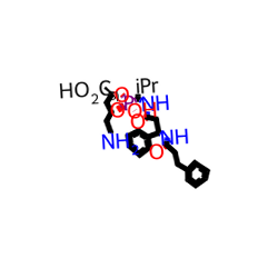 CC(C)C(NC(=O)CC(NC(=O)CCc1ccccc1)c1ccccc1)P(=O)(O)O[C@@H](CCCCN)C(=O)O